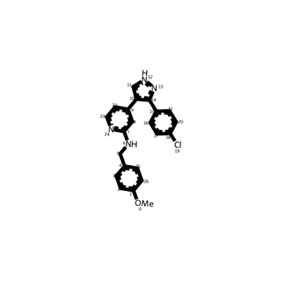 COc1ccc(CNc2cc(-c3c[nH]nc3-c3ccc(Cl)cc3)ccn2)cc1